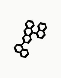 c1ccc2c(-c3ccc4c(-c5cccc6ccccc56)c5ccccc5cc4c3)cccc2c1